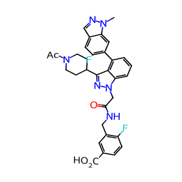 CC(=O)N1CCC(c2nn(CC(=O)NCc3cc(C(=O)O)ccc3F)c3cccc(-c4cc5c(cnn5C)cc4F)c23)CC1